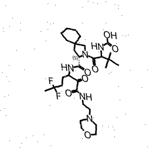 CC(F)(F)CCC(NC(=O)[C@@H]1CC2(CCCCC2)CN1C(=O)C(NC(=O)O)C(C)(C)C)C(=O)C(=O)NCCN1CCOCC1